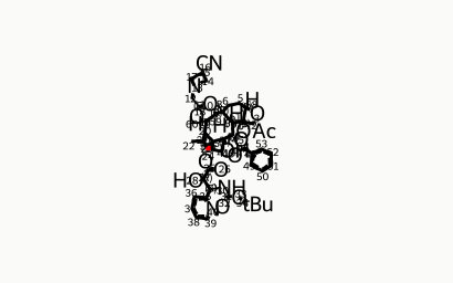 CC(=O)O[C@@]12CO[C@@H]1CC[C@@]1(C)[C@@H]3O[C@H](CN4CC(C#N)C4)O[C@@H]3C3=C(C)[C@@H](OC(=O)[C@H](O)[C@@H](NC(=O)OC(C)(C)C)c4ccccn4)C[C@@](O)([C@@H](OC(=O)c4ccccc4)[C@@H]12)C3(C)C